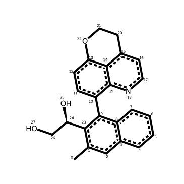 Cc1cc2ccccc2c(-c2ccc3c4c(ccnc24)CCO3)c1[C@H](O)CO